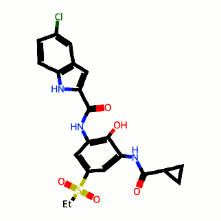 CCS(=O)(=O)c1cc(NC(=O)c2cc3cc(Cl)ccc3[nH]2)c(O)c(NC(=O)C2CC2)c1